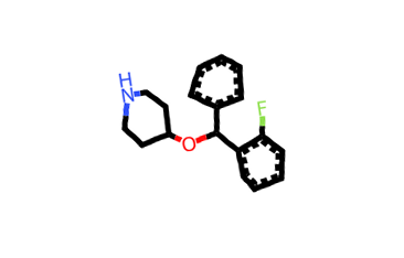 Fc1ccccc1C(OC1CCNCC1)c1ccccc1